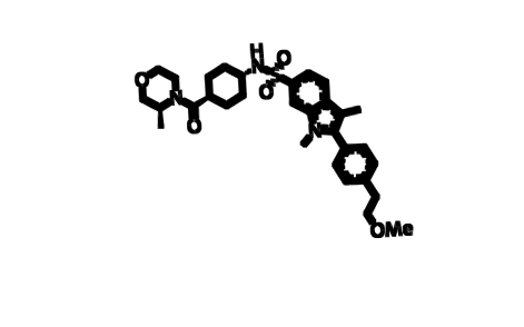 COCCc1ccc(-c2c(C)c3ccc(S(=O)(=O)N[C@H]4CC[C@H](C(=O)N5CCOC[C@@H]5C)CC4)cc3n2C)cc1